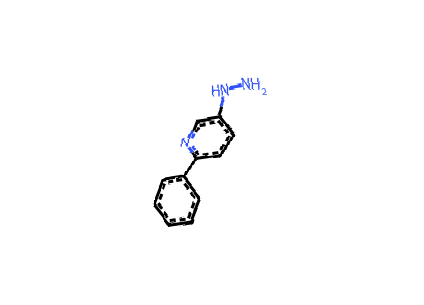 NNc1ccc(-c2ccccc2)nc1